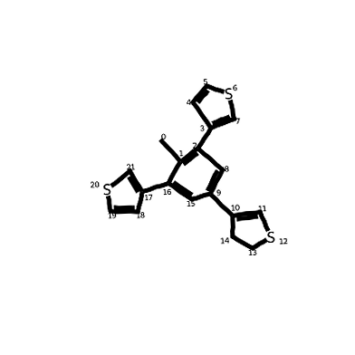 Cc1c(-c2ccsc2)cc(C2=CSCC2)cc1-c1ccsc1